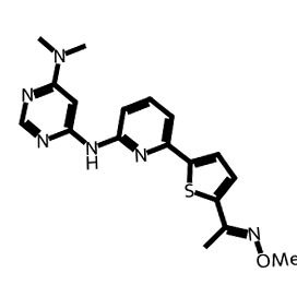 CO/N=C(\C)c1ccc(-c2cccc(Nc3cc(N(C)C)ncn3)n2)s1